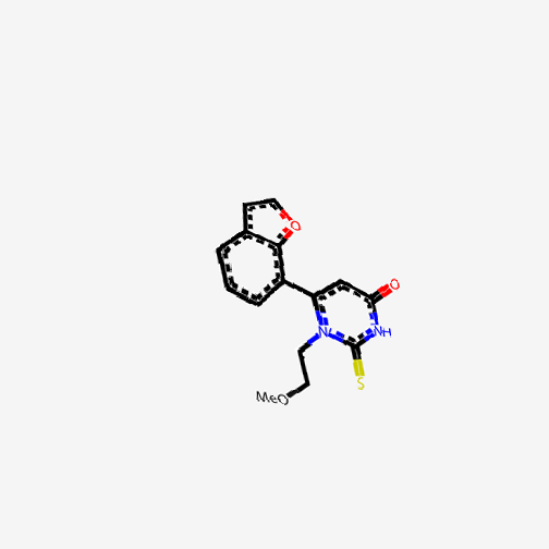 COCCn1c(-c2cccc3ccoc23)cc(=O)[nH]c1=S